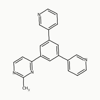 Cc1nccc(-c2cc(-c3cccnc3)cc(-c3cccnc3)c2)n1